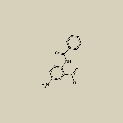 Nc1ccc(NC(=O)c2ccccc2)c([N+](=O)[O-])c1